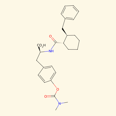 CN(C)C(=O)Oc1ccc(C[C@H](NC(=O)[C@H]2CCCC[C@@H]2Cc2ccccc2)C(=O)O)cc1